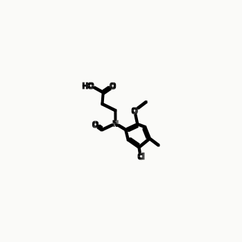 COc1cc(C)c(Cl)cc1N(C=O)CCC(=O)O